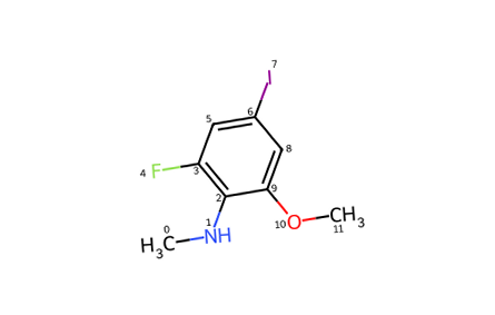 CNc1c(F)cc(I)cc1OC